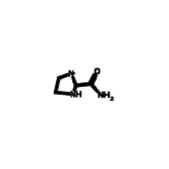 NC(=O)C1[N]CCN1